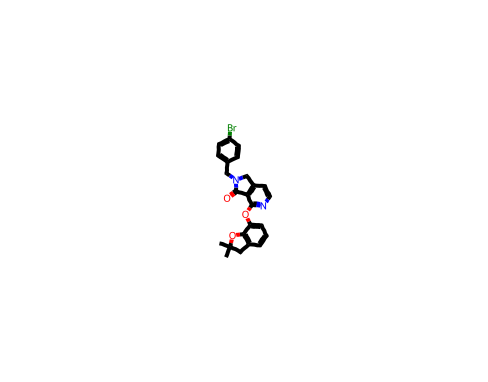 CC1(C)Cc2cccc(Oc3nccc4c3C(=O)N(Cc3ccc(Br)cc3)C4)c2O1